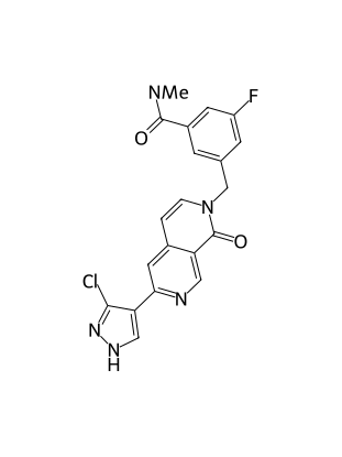 CNC(=O)c1cc(F)cc(Cn2ccc3cc(-c4c[nH]nc4Cl)ncc3c2=O)c1